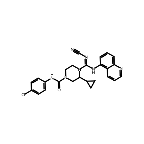 N#C/N=C(/Nc1cccc2ncccc12)N1CCN(C(=O)Nc2ccc(Cl)cc2)CC1C1CC1